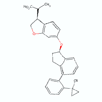 CC(C(=O)O)[C@@H]1COc2cc(O[C@@H]3CCc4c(-c5ccccc5C5(C#N)CC5)cccc43)ccc21